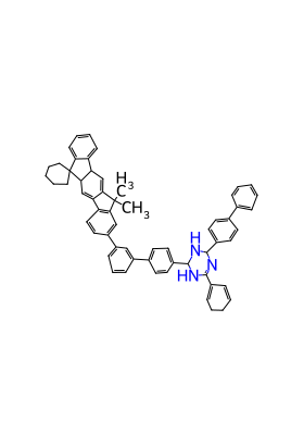 CC1(C)C2=CC3c4ccccc4C4(CCCCC4)C3C=C2c2ccc(-c3cccc(-c4ccc(C5NC(C6=CCCC=C6)=NC(c6ccc(-c7ccccc7)cc6)N5)cc4)c3)cc21